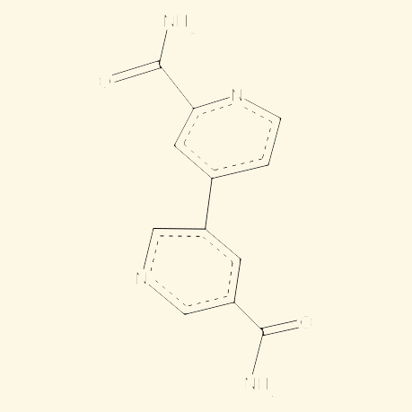 NC(=O)c1cncc(-c2ccnc(C(N)=O)c2)c1